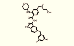 COCCN(C)Cc1ccc(C(=O)Nc2n[nH]c3ccc(Cc4cc(F)cc(F)c4)cc23)c(NC2CCOCC2)c1